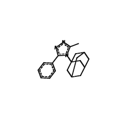 Cc1nnc(-c2ccccc2)n1C12CC3CC(CC(C3)C1)C2